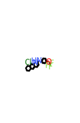 FC(F)(F)Oc1ccc(Nc2ccc3cc4c(c(Cl)c3n2)CCCC4)cc1